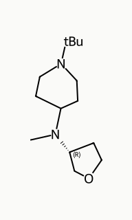 CN(C1CCN(C(C)(C)C)CC1)[C@@H]1CCOC1